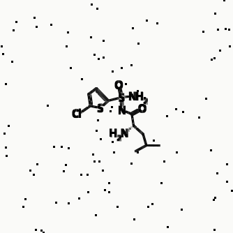 CC(C)C[C@H](N)C(=O)N=S(N)(=O)c1ccc(Cl)s1